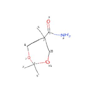 CC1(C)OCC(C)(C(N)=O)CO1